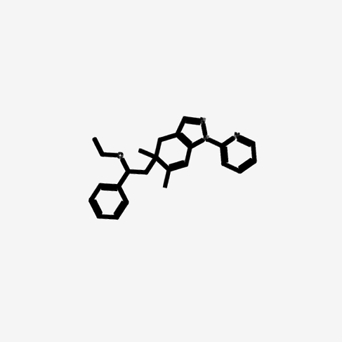 CCOC(CC1(C)Cc2cnn(-c3ccccn3)c2C=C1C)c1ccccc1